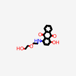 O=C1c2ccccc2C(=O)c2c(NCCOCCO)ccc(O)c21